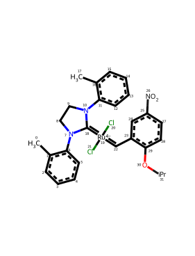 Cc1ccccc1N1CCN(c2ccccc2C)[C]1=[Ru-4]([Cl])([Cl])=[CH]c1cc([N+](=O)[O-])ccc1OC(C)C